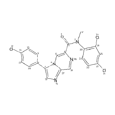 CN(C(=O)c1cn2c(-c3ccc(Cl)cc3)cnc2cn1)c1ccc(Cl)cc1Cl